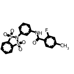 Cc1ccc(C(=O)Nc2cccc(N3S(=O)(=O)c4ccccc4S3(=O)=O)c2)c(F)c1